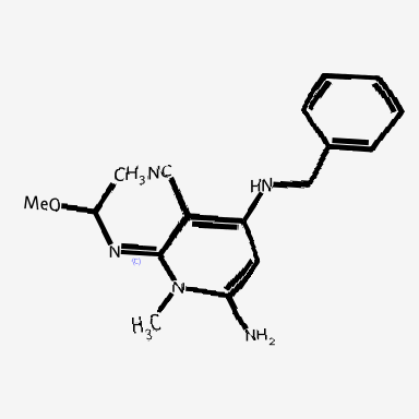 COC(C)/N=c1\c(C#N)c(NCc2ccccc2)cc(N)n1C